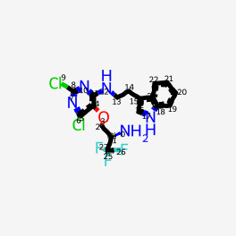 N[C@H](COc1c(Cl)nc(Cl)nc1NCCc1c[nH]c2ccccc12)C(F)(F)F